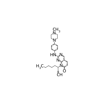 C#CC(CCCCC)n1c(=O)ccc2cnc(Nc3ccc(N4CCN(C)CC4)cc3)nc21